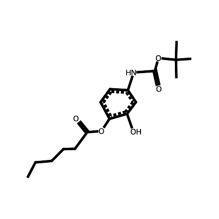 CCCCCC(=O)Oc1ccc(NC(=O)OC(C)(C)C)cc1O